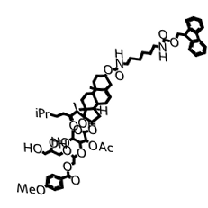 COc1ccc(C(=O)OCC(OCC(O)CO)OC2C(O)COC(OC3C[C@H]4C5CC=C6CC(OC(=O)NCCCCCCNC(=O)OCC7c8ccccc8-c8ccccc87)CCC6(C)C5CCC4(C)[C@@]3(O)[C@H](C)C(=O)CCC(C)C)C2OC(C)=O)cc1